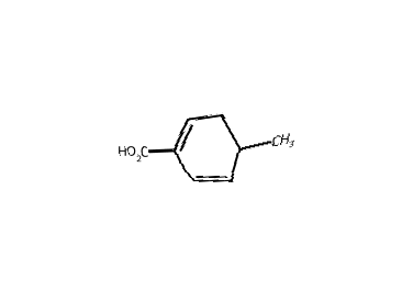 CC1C=CC(C(=O)O)=CC1